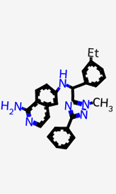 CCc1cccc(C(Nc2ccc3c(N)nccc3c2)c2nc(-c3ccccc3)nn2C)c1